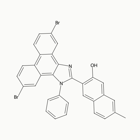 Cc1ccc2cc(-c3nc4c5cc(Br)ccc5c5ccc(Br)cc5c4n3-c3ccccc3)c(O)cc2c1